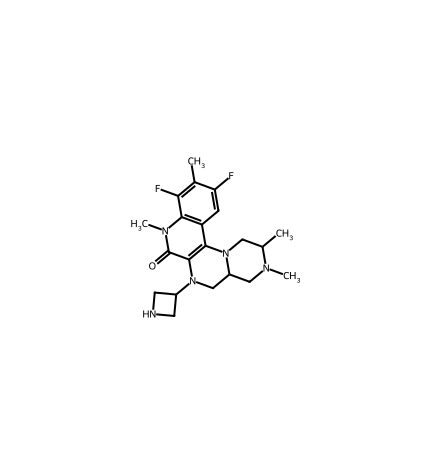 Cc1c(F)cc2c3c(c(=O)n(C)c2c1F)N(C1CNC1)CC1CN(C)C(C)CN31